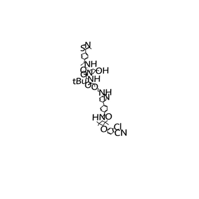 Cc1ncsc1-c1ccc([C@H](C)NC(=O)[C@@H]2C[C@@H](O)CN2C(=O)[C@@H](NC(=O)COCCNc2ccc(-c3ccc(C(=O)N[C@H]4C(C)(C)[C@H](Oc5ccc(C#N)c(Cl)c5)C4(C)C)cc3)cn2)C(C)(C)C)cc1